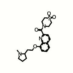 CN1CCCC1CCOc1cccc2ccc(C(=O)N3CCS(=O)(=O)CC3)nc12